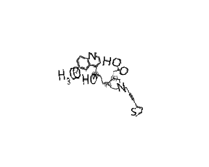 COc1ccc2nccc([C@H](O)CC[C@@H]3CCN(CC#Cc4cccs4)C[C@H]3CC(=O)O)c2c1